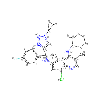 B[C@](Nc1cc(Cl)c2ncc(C#N)c(NC3CCCCC3C)c2c1)(c1ccc(F)cc1)c1cn(C2CC2)nn1